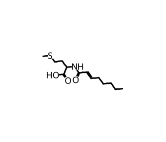 CCCCC/C=C/C(=O)NC(CCSC)C(=O)O